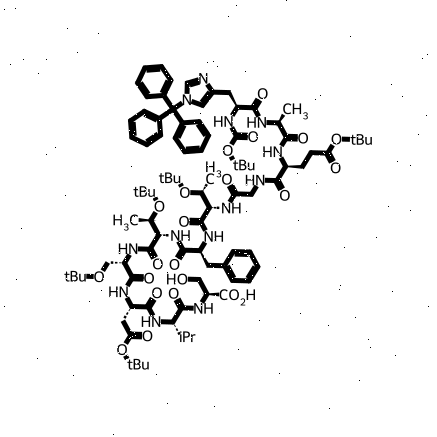 CC(C)[C@H](NC(=O)[C@H](CC(=O)OC(C)(C)C)NC(=O)[C@H](COC(C)(C)C)NC(=O)[C@@H](NC(=O)[C@H](Cc1ccccc1)NC(=O)[C@@H](NC(=O)CNC(=O)[C@H](CCC(=O)OC(C)(C)C)NC(=O)[C@H](C)NC(=O)[C@H](Cc1cn(C(c2ccccc2)(c2ccccc2)c2ccccc2)cn1)NC(=O)OC(C)(C)C)[C@@H](C)OC(C)(C)C)[C@@H](C)OC(C)(C)C)C(=O)N[C@@H](CO)C(=O)O